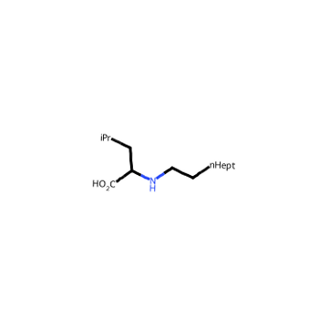 CCCCCCCCCNC(CC(C)C)C(=O)O